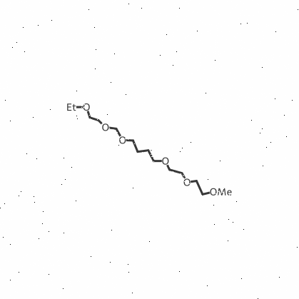 CCOCCOCOCC[CH]COCCOCCOC